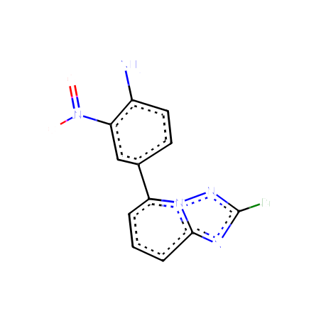 Nc1ccc(-c2cccc3nc(Br)nn23)cc1[N+](=O)[O-]